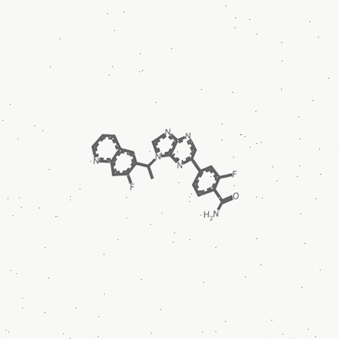 CC(c1cc2cccnc2cc1F)n1cnc2ncc(-c3ccc(C(N)=O)c(F)c3)nc21